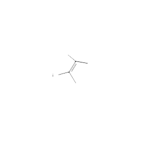 C/C(C(=O)O)=C(\C(=O)O)C(C)C